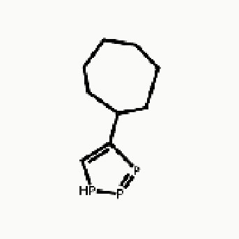 c1[pH]ppc1C1CCCCCC1